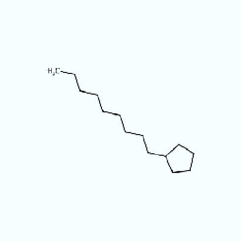 [CH2]CCCCCCCCC1CCCC1